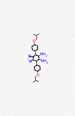 CC(C)COc1ccc(-c2c(N)c(N)c(-c3ccc(OCC(C)C)cc3)c3nsnc23)cc1